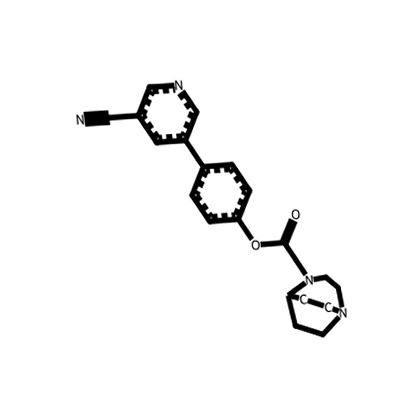 N#Cc1cncc(-c2ccc(OC(=O)N3CCN4CCC3CC4)cc2)c1